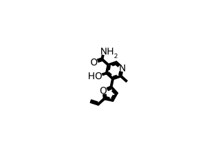 C=Cc1ccc(-c2c(C)ncc(C(N)=O)c2O)o1